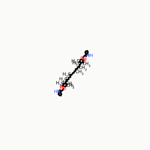 CC1=C(/C=C/C(C)=C/C=C/C(C)=C/C=C/C=C(C)/C=C/C=C(C)/C=C/C2=C(C)C(=O)[C@@H](OC(=O)Cc3c[nH]c4ccccc34)CC2(C)C)C(C)(C)C[C@H](OC(=O)Cc2c[nH]c3ccccc23)C1=O